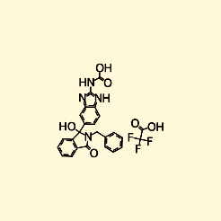 O=C(O)C(F)(F)F.O=C(O)Nc1nc2cc(C3(O)c4ccccc4C(=O)N3Cc3ccccc3)ccc2[nH]1